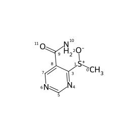 C[S+]([O-])c1ncncc1C(N)=O